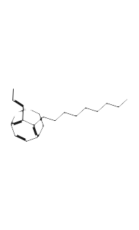 CC=Cc1c2ccc(c1CCCCCCCCC)CCOO2